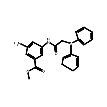 COC(=O)c1cc(N)cc(NC(=O)CN(C2=CCCC=C2)c2ccccc2)c1